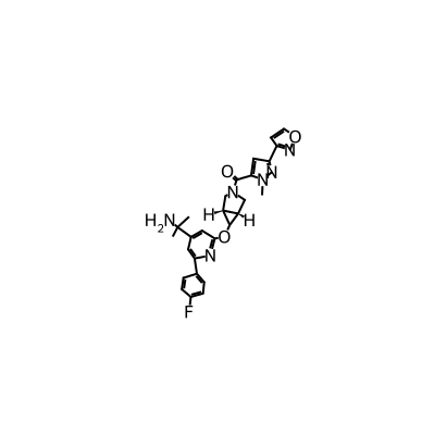 Cn1nc(-c2ccon2)cc1C(=O)N1C[C@@H]2C(Oc3cc(C(C)(C)N)cc(-c4ccc(F)cc4)n3)[C@@H]2C1